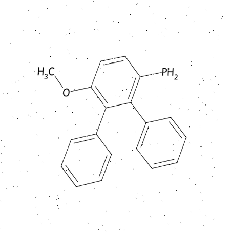 COc1ccc(P)c(-c2ccccc2)c1-c1ccccc1